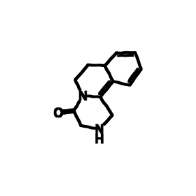 O=C1CNCC2=C3C=CC=CC3CCN12